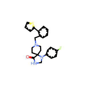 O=C1NCN(c2ccc(F)cc2)C12CCN(Cc1ccccc1-c1cccs1)CC2